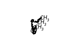 CC#CCC(C)CCC[C@H]1CCC[C@@H]1CCCCC=C(OC1CCCCO1)C(=O)OC